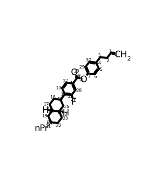 C=CCCc1ccc(OC(=O)c2ccc(C3CC[C@H]4C[C@@H](CCC)CC[C@@H]4C3)c(F)c2)cc1